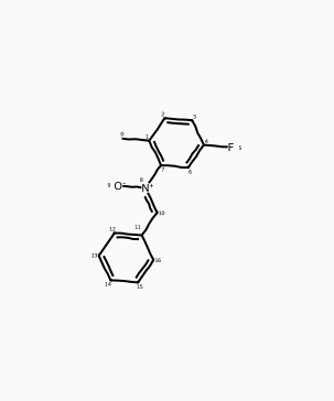 Cc1ccc(F)cc1[N+]([O-])=Cc1ccccc1